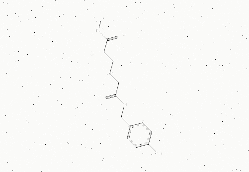 CC(C)(C)c1ccc(CNC(=O)CCC[C@H](N)C(=O)NO)cc1